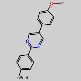 CCCCCc1ccc(-c2ncc(-c3ccc(OC(C)C)cc3)cn2)cc1